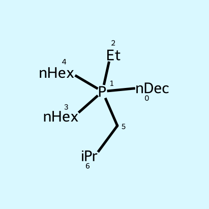 CCCCCCCCCCP(CC)(CCCCCC)(CCCCCC)CC(C)C